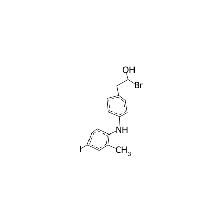 Cc1cc(I)ccc1Nc1ccc(CC(O)Br)cc1